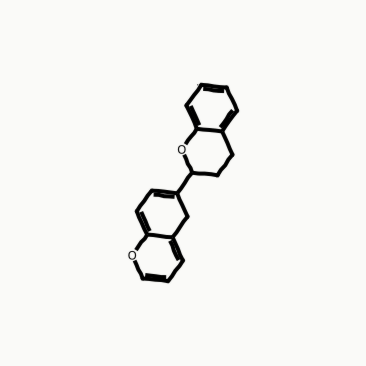 [c]1ccc2c(c1)OC(C1=CC=C3OC=CC=C3C1)CC2